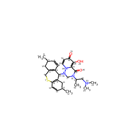 CC1C=CC2=C(CSC3=C(CC(C)C=C3)C2N2CN(C(C)CN(C)C)C(=O)c3c(O)c(=O)ccn32)C1